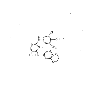 Cc1cc(Nc2ncc(F)c(Nc3ccc4c(c3)OCCO4)n2)cc(Cl)c1O